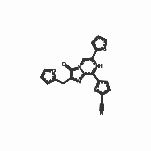 N#Cc1ccc(-c2[nH]c(-c3cccs3)cn3c(=O)c(Cc4ccco4)nc2-3)s1